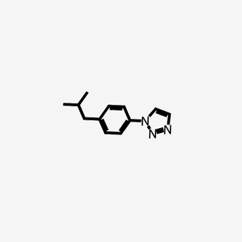 CC(C)Cc1ccc(-n2ccnn2)cc1